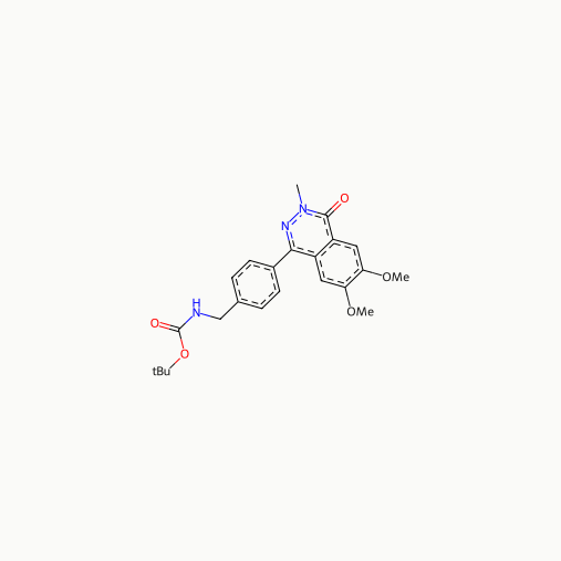 COc1cc2c(-c3ccc(CNC(=O)OC(C)(C)C)cc3)nn(C)c(=O)c2cc1OC